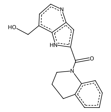 O=C(c1cc2nccc(CO)c2[nH]1)N1CCCc2ccccc21